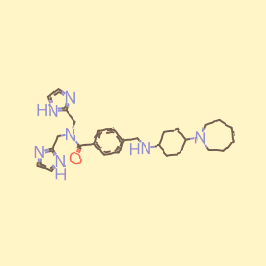 O=C(c1ccc(CNC2CCC(N3CCCCCC3)CC2)cc1)N(Cc1ncc[nH]1)Cc1ncc[nH]1